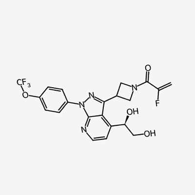 C=C(F)C(=O)N1CC(c2nn(-c3ccc(OC(F)(F)F)cc3)c3nccc([C@@H](O)CO)c23)C1